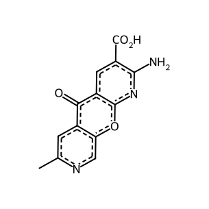 Cc1cc2c(=O)c3cc(C(=O)O)c(N)nc3oc2cn1